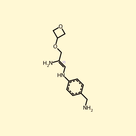 NCc1ccc(N/C=C(\N)COC2COC2)cc1